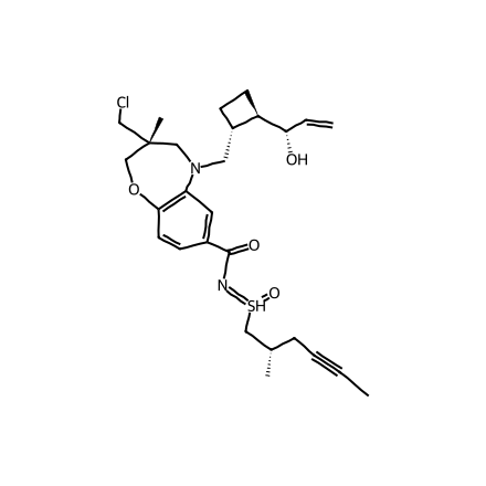 C=C[C@H](O)[C@@H]1CC[C@H]1CN1C[C@@](C)(CCl)COc2ccc(C(=O)/N=[SH](=O)/C[C@@H](C)CC#CC)cc21